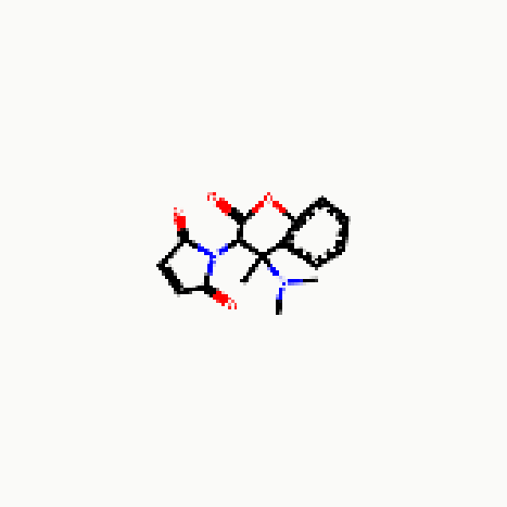 CN(C)C1(C)c2ccccc2OC(=O)C1N1C(=O)C=CC1=O